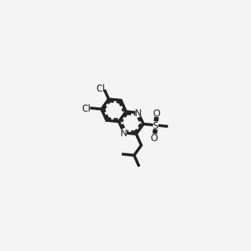 CC(C)Cc1nc2cc(Cl)c(Cl)cc2nc1S(C)(=O)=O